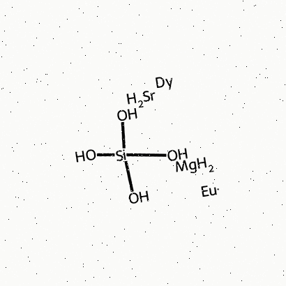 O[Si](O)(O)O.[Dy].[Eu].[MgH2].[SrH2]